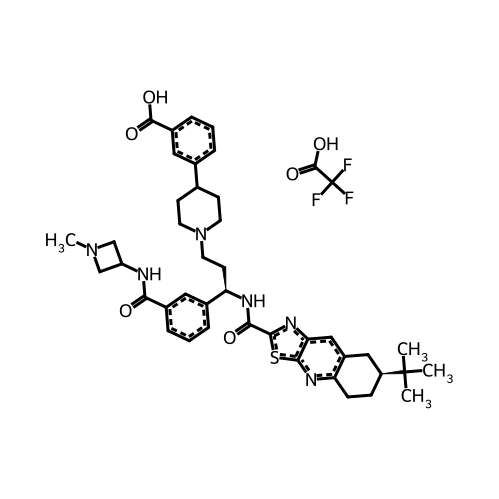 CN1CC(NC(=O)c2cccc([C@@H](CCN3CCC(c4cccc(C(=O)O)c4)CC3)NC(=O)c3nc4cc5c(nc4s3)CC[C@H](C(C)(C)C)C5)c2)C1.O=C(O)C(F)(F)F